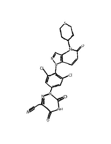 N#Cc1nn(-c2cc(Cl)c(-n3ncc4c3ccc(=O)n4C3CCSCC3)c(Cl)c2)c(=O)[nH]c1=O